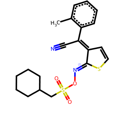 Cc1ccccc1C(C#N)=C1C=CS/C1=N\OS(=O)(=O)CC1CCCCC1